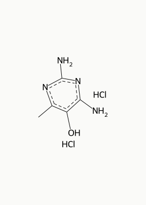 Cc1nc(N)nc(N)c1O.Cl.Cl